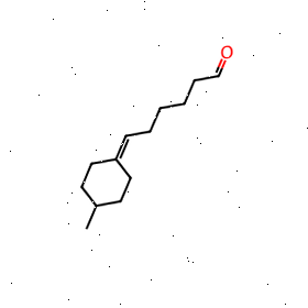 CC1CCC(=CCCCCC=O)CC1